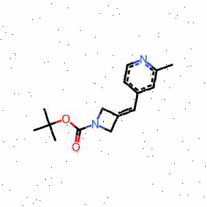 Cc1cc(C=C2CN(C(=O)OC(C)(C)C)C2)ccn1